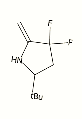 C=C1NC(C(C)(C)C)CC1(F)F